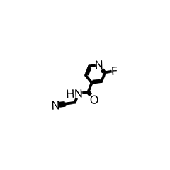 N#CCNC(=O)c1ccnc(F)c1